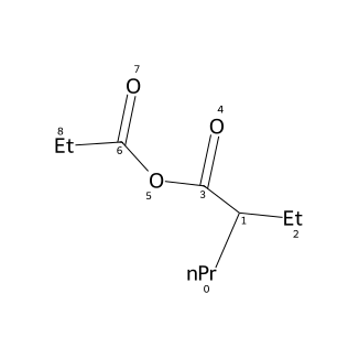 CCCC(CC)C(=O)OC(=O)CC